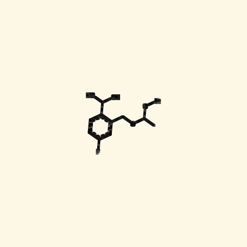 CCOC(C)OCc1cc(F)ccc1C(O)O